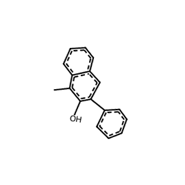 Cc1c(O)c(-c2ccccc2)cc2ccccc12